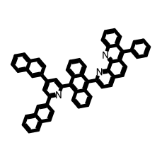 c1ccc(-c2c3ccccc3nc3c2ccc2ccc(-c4c5ccccc5c(-c5cc(-c6ccc7ccccc7c6)cc(-c6ccc7ccccc7c6)n5)c5ccccc45)nc23)cc1